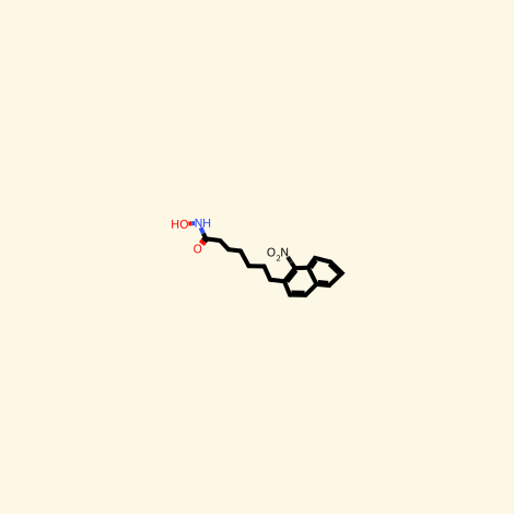 O=C(CCCCCCc1ccc2ccccc2c1[N+](=O)[O-])NO